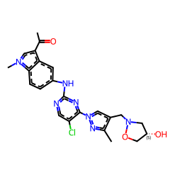 CC(=O)c1cn(C)c2ccc(Nc3ncc(Cl)c(-n4cc(CN5C[C@H](O)CO5)c(C)n4)n3)cc12